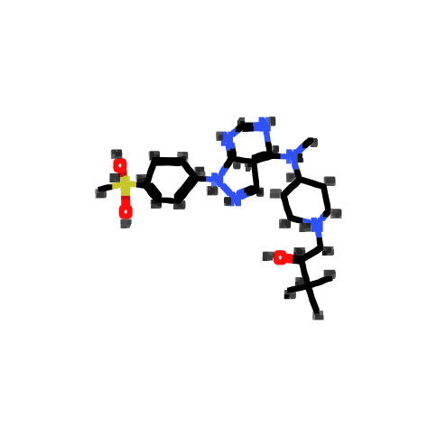 CN(c1ncnc2c1cnn2-c1ccc(S(C)(=O)=O)cc1)C1CCN(CC(=O)C(C)(C)C)CC1